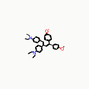 CCN(CC)c1ccc(C=C(C=C(c2ccc(OC)cc2)c2ccc(OC)cc2)c2ccc(N(CC)CC)cc2)cc1